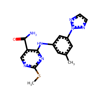 CSc1ncc(C(N)=O)c(Nc2cc(C)cc(-n3nccn3)c2)n1